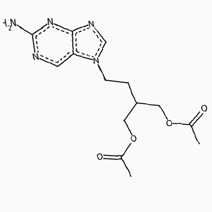 CC(=O)OCC(CCn1cnc2nc(N)ncc21)COC(C)=O